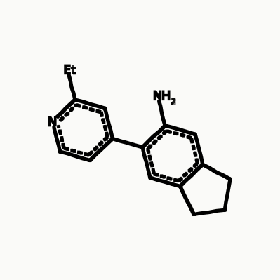 CCc1cc(-c2cc3c(cc2N)CCC3)ccn1